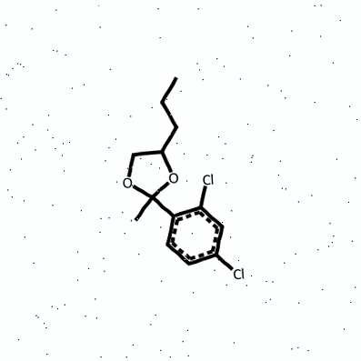 [CH2]C1(c2ccc(Cl)cc2Cl)OCC(CCC)O1